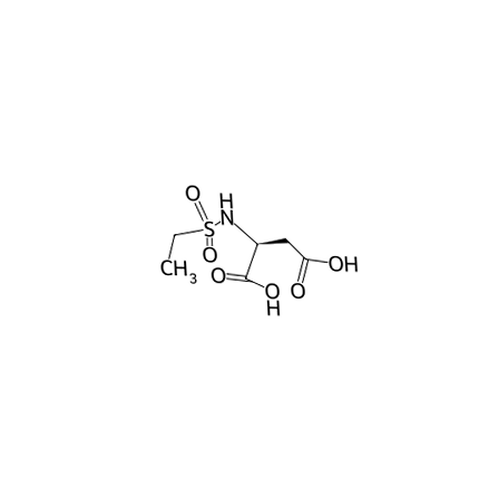 CCS(=O)(=O)N[C@@H](CC(=O)O)C(=O)O